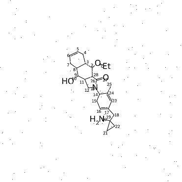 CCOC1C2CC=CCC2C(O)C2CN(C3CC=C(CC4(N)CC4)C=C3C)C(=O)C21